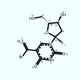 C=C(Br)c1cn([C@@]2(F)C[C@H](O)[C@@H](CO)O2)c(=O)[nH]c1=O